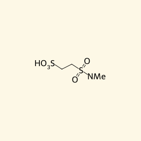 CNS(=O)(=O)CCS(=O)(=O)O